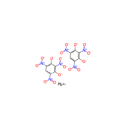 O=[N+]([O-])c1cc([N+](=O)[O-])c([O-])c([N+](=O)[O-])c1[O-].O=[N+]([O-])c1cc([N+](=O)[O-])c([O-])c([N+](=O)[O-])c1[O-].[Pb+4]